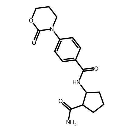 NC(=O)C1CCCC1NC(=O)c1ccc(N2CCCOC2=O)cc1